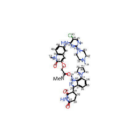 CNC(=O)COc1cc2cc(Nc3nc(N4CCN(C[C@H]5CCN(c6cccc7c(C8CCC(=O)NC8=O)nn(C)c67)C5)CC4)ncc3Cl)ccc2n(C)c1=O